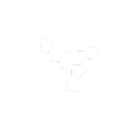 CCC1CCCCN1c1ccc(-c2ccccc2C(=O)O)cc1NC(=O)Nc1ccccc1F